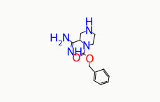 N=C(N)C1CNCCN1C(=O)OCc1ccccc1